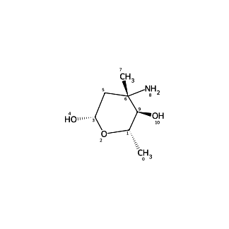 C[C@@H]1O[C@H](O)C[C@](C)(N)[C@H]1O